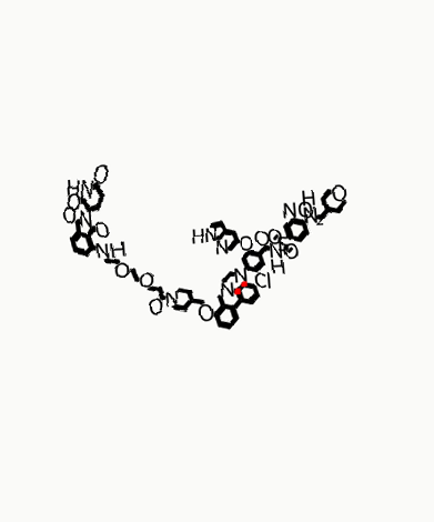 O=C1CCC(N2C(=O)c3cccc(NCCOCCOCCC(=O)N4CCC(COc5cccc(-c6ccc(Cl)cc6)c5CN5CCN(c6ccc(C(=O)NS(=O)(=O)c7ccc(NCC8CCOCC8)c([N+](=O)[O-])c7)c(Oc7cnc8[nH]ccc8c7)c6)CC5)CC4)c3C2=O)C(=O)N1